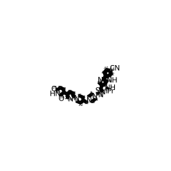 CC(C)Nc1c(-c2nnc(N3CCN(CC4CCN(c5ccc(C6CCC(=O)NC6=O)cn5)CC4)CC3)s2)cnc2c1[nH]c1cc(C#N)ccc12